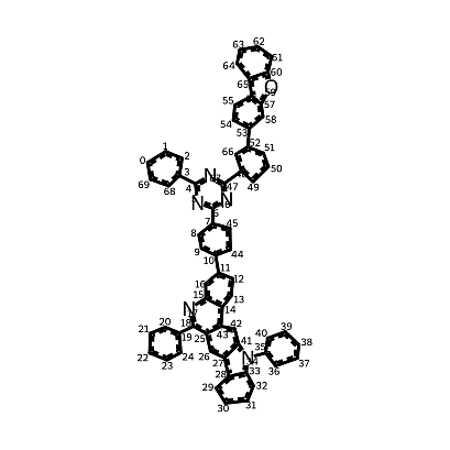 c1ccc(-c2nc(-c3ccc(-c4ccc5c(c4)nc(-c4ccccc4)c4cc6c7ccccc7n(-c7ccccc7)c6cc45)cc3)nc(-c3cccc(-c4ccc5c(c4)oc4ccccc45)c3)n2)cc1